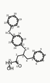 O=C(CC(Cc1ccccc1)Sc1ccc(Sc2ccccc2)cc1)NO